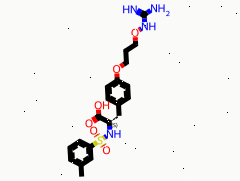 Cc1cccc(S(=O)(=O)N[C@@H](Cc2ccc(OCCCONC(=N)N)cc2)C(=O)O)c1